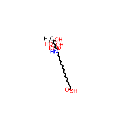 C[C@@H](O)[C@@H](O)[C@H](O)[C@@H](O)C(=O)NCCCCCCCCCCCCCCCCCC(=O)O